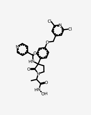 CC(C(=O)NO)N1CCC(NC(=O)c2ccncc2)(c2ccc(OCc3cc(Cl)nc(Cl)c3)cc2)C1=O